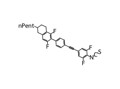 CCCCCC1CCc2c(cc(F)c(-c3ccc(C#Cc4cc(F)c(N=C=S)c(F)c4)cc3)c2F)C1